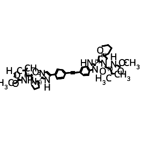 COC(=O)N[C@H](C(=O)N1CCC[C@H]1c1ncc(-c2ccc(C#Cc3ccc4nc([C@@H]5C[C@@]6(CCCCO6)CN5C(=O)[C@@H](NC(=O)OC)C(C)C)[nH]c4c3)cc2)[nH]1)C(C)C